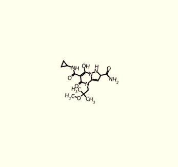 COC(C)(C)CN1C(=O)C(C(=O)NC2CC2)=C(O)N2NC(C(N)=O)C=C12